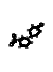 O=C1CCC([C@H]2C=C([N+](=O)[O-])C=CC2)CC1